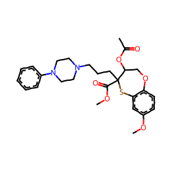 COC(=O)C1(CCCN2CCN(c3ccccc3)CC2)Sc2cc(OC)ccc2OCC1OC(C)=O